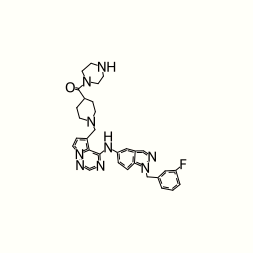 O=C(C1CCN(Cc2ccn3ncnc(Nc4ccc5c(cnn5Cc5cccc(F)c5)c4)c23)CC1)N1CCNCC1